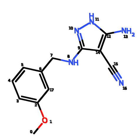 COc1cccc(CNc2n[nH]c(N)c2C#N)c1